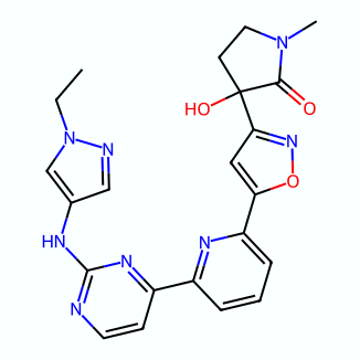 CCn1cc(Nc2nccc(-c3cccc(-c4cc(C5(O)CCN(C)C5=O)no4)n3)n2)cn1